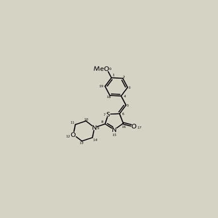 COc1ccc(/C=C2\SC(N3CCOCC3)=NC2=O)cc1